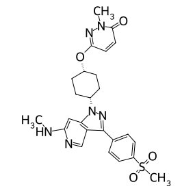 CNc1cc2c(cn1)c(-c1ccc(S(C)(=O)=O)cc1)nn2[C@H]1CC[C@@H](Oc2ccc(=O)n(C)n2)CC1